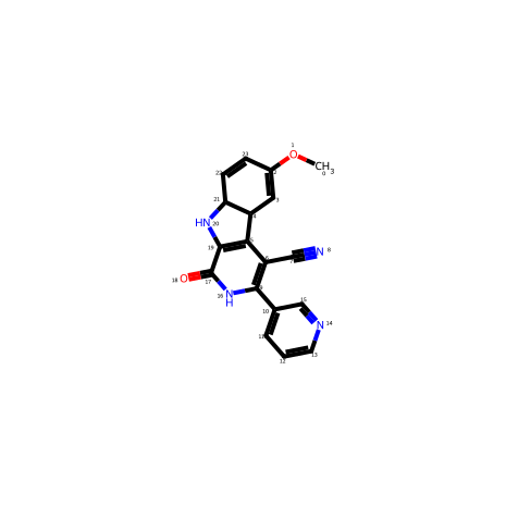 COC1=CC2c3c(C#N)c(-c4cccnc4)[nH]c(=O)c3NC2C=C1